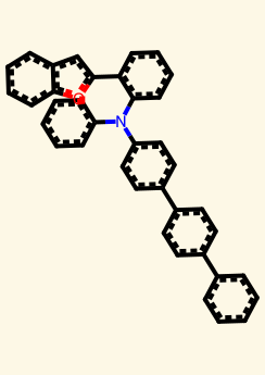 c1ccc(-c2ccc(-c3ccc(N(c4ccccc4)c4ccccc4-c4cc5ccccc5o4)cc3)cc2)cc1